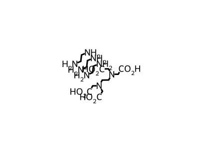 NCCN.NCCN.NCCN.O=C(O)CN(CCN(CC(=O)O)CC(=O)O)CC(=O)O